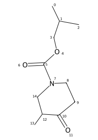 CC(C)COC(=O)N1CCC(=O)C(C)C1